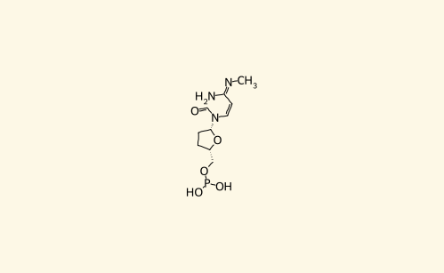 C/N=C(N)\C=C/N(C=O)[C@H]1CC[C@@H](COP(O)O)O1